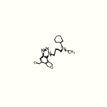 CN(CCCn1nnc2cc(C=O)c3c(c21)COC3)C1CCCCC1